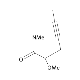 CC#CCC(OC)C(=O)NC